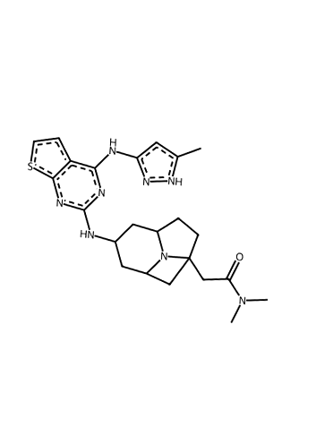 Cc1cc(Nc2nc(NC3CC4CCC5(CC(=O)N(C)C)CC(C3)N45)nc3sccc23)n[nH]1